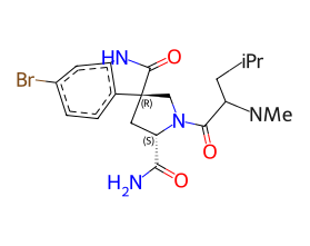 CNC(CC(C)C)C(=O)N1C[C@]2(C[C@H]1C(N)=O)C(=O)Nc1cc(Br)ccc12